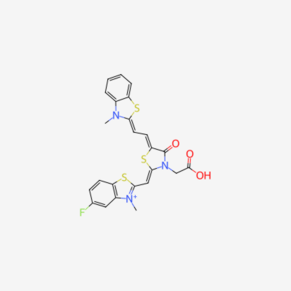 CN1/C(=C/C=c2\s/c(=C\c3sc4ccc(F)cc4[n+]3C)n(CC(=O)O)c2=O)Sc2ccccc21